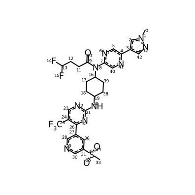 Cn1cc(-c2cnc(N(C(=O)CCC(F)F)C3CCC(Nc4ncc(C(F)(F)F)c(-c5cncc(S(C)(=O)=O)c5)n4)CC3)cn2)cn1